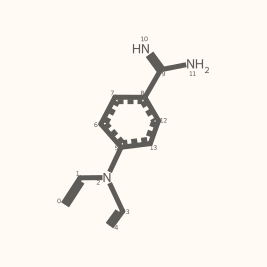 C=CN(C=C)c1ccc(C(=N)N)cc1